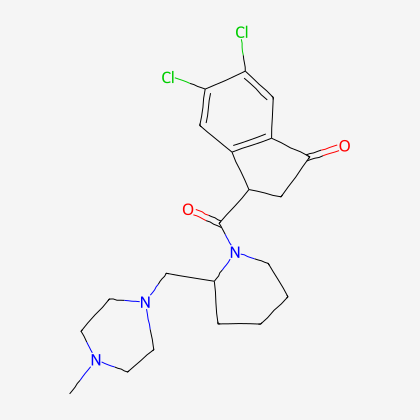 CN1CCN(CC2CCCCN2C(=O)C2CC(=O)c3cc(Cl)c(Cl)cc32)CC1